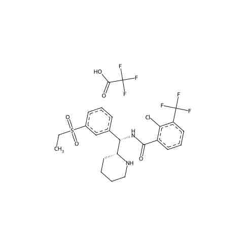 CCS(=O)(=O)c1cccc([C@H](NC(=O)c2cccc(C(F)(F)F)c2Cl)[C@H]2CCCCN2)c1.O=C(O)C(F)(F)F